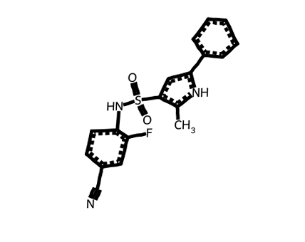 Cc1[nH]c(-c2ccccc2)cc1S(=O)(=O)Nc1ccc(C#N)cc1F